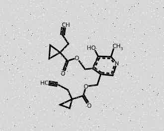 C#CCC1(C(=O)OCc2cnc(C)c(O)c2COC(=O)C2(CC#C)CC2)CC1